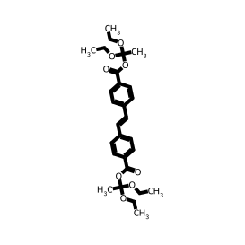 CCOC(C)(OCC)OC(=O)c1ccc(/C=C/c2ccc(C(=O)OC(C)(OCC)OCC)cc2)cc1